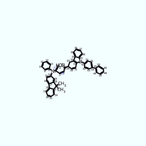 C=C(/C=C\C(=C/C)N(c1ccccc1)c1ccc2c(c1)C(C)(C)c1ccccc1-2)C1C=Cc2c(c3ccccc3n2-c2ccc(-c3ccccc3)cc2)C1